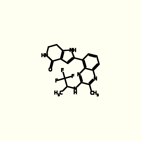 Cc1nc2cccc(-c3cc4c([nH]3)CCNC4=O)c2nc1NC(C)C(F)(F)F